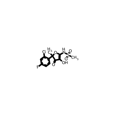 CC1(c2ccc(F)cc2Cl)OC(NS(C)(=O)=O)=C(O)C1=O